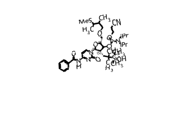 CSC(C)C(C)COC[C@H]1O[C@@H](n2ccc(NC(=O)c3ccccc3)nc2=O)[C@@H](CC(C)(C)[Si](C)(C)O)C1OP(OCCC#N)N(C(C)C)C(C)C